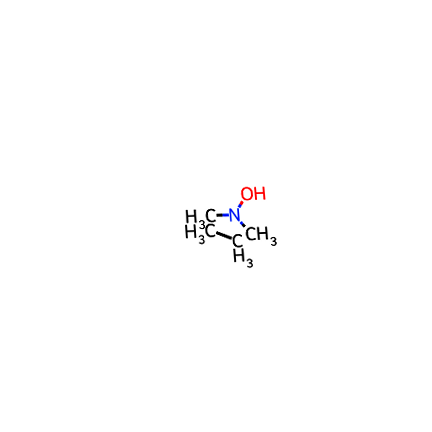 CC.CN(C)O